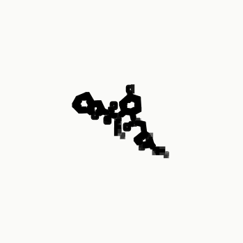 Nc1nc(C[S+]([O-])c2ccc(Cl)cc2N(N)S(=O)(=O)c2cc3ccccc3o2)cs1